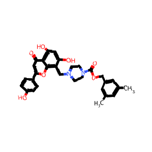 Cc1cc(C)cc(COC(=O)N2CCN(Cc3c(O)cc(O)c4c(=O)cc(-c5ccc(O)cc5)oc34)CC2)c1